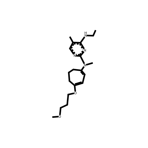 CCNc1nc(N(C)C2=CC=C(OCCCOC)CCC2)ncc1C